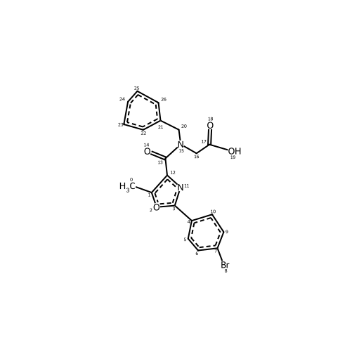 Cc1oc(-c2ccc(Br)cc2)nc1C(=O)N(CC(=O)O)Cc1ccccc1